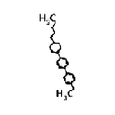 CCCCCC1CC=C(c2ccc(-c3ccc(CC)cc3)cc2)CC1